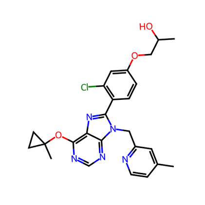 Cc1ccnc(Cn2c(-c3ccc(OCC(C)O)cc3Cl)nc3c(OC4(C)CC4)ncnc32)c1